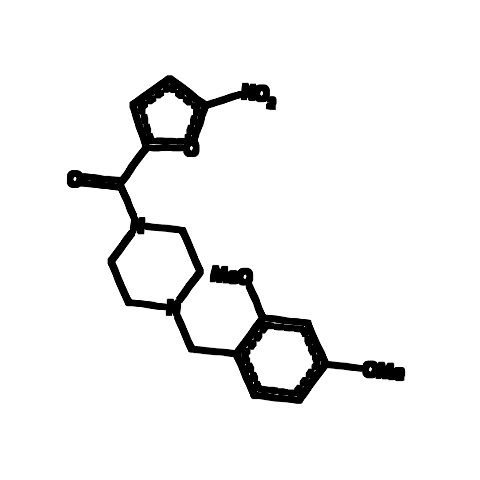 COc1ccc(CN2CCN(C(=O)c3ccc([N+](=O)[O-])o3)CC2)c(OC)c1